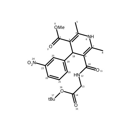 COC(=O)C1=C(C)NC(C)=C(C(=O)NCC(=O)OC(C)(C)C)C1c1cccc([N+](=O)[O-])c1